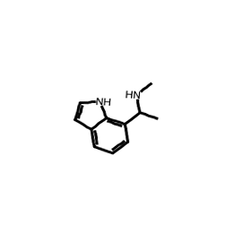 CNC(C)c1cccc2cc[nH]c12